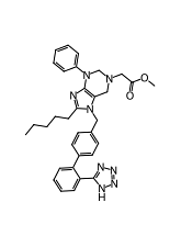 CCCCCc1nc2c(n1Cc1ccc(-c3ccccc3-c3nnn[nH]3)cc1)CN(CC(=O)OC)CN2c1ccccc1